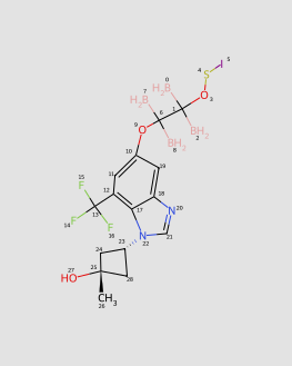 BC(B)(OSI)C(B)(B)Oc1cc(C(F)(F)F)c2c(c1)ncn2[C@H]1C[C@@](C)(O)C1